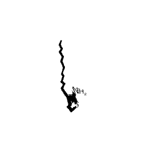 CCCCCCCCCCCCc1ccsc1N